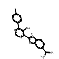 Cc1ccc(-c2ncnc(-c3nc4cc(C(=N)N)ccc4[nH]3)c2O)cc1